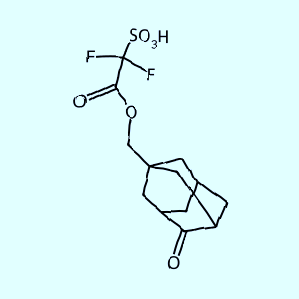 O=C1C2CC3CC1CC(COC(=O)C(F)(F)S(=O)(=O)O)(C3)C2